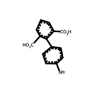 CCCc1ccc(-c2c(C(=O)O)cccc2C(=O)O)cc1